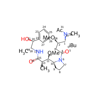 CC[C@H](C)[C@@H]([C@@H](CC(=O)N1CCC[C@H]1[C@H](OC)[C@@H](C)C(=O)N[C@H](C)[C@@H](O)c1ccccc1)OC)N(C)C(C)=O